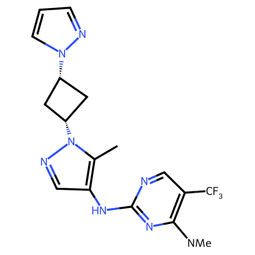 CNc1nc(Nc2cnn([C@H]3C[C@@H](n4cccn4)C3)c2C)ncc1C(F)(F)F